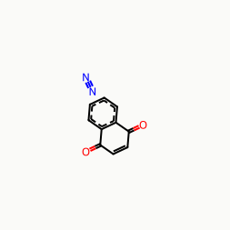 N#N.O=C1C=CC(=O)c2ccccc21